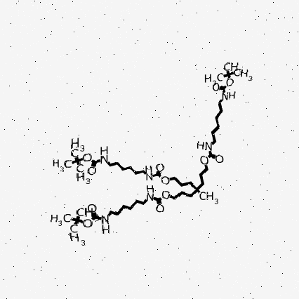 CC(CCCOC(=O)NCCCCCCNC(=O)OC(C)(C)C)(CCCOC(=O)NCCCCCCNC(=O)OC(C)(C)C)CCCOC(=O)NCCCCCCNC(=O)OC(C)(C)C